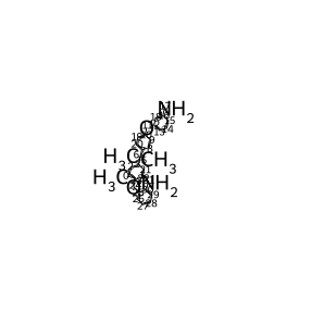 Cc1cc(C(C)(C)c2ccc(Oc3cccc(N)c3)cc2)ccc1Oc1ccccc1N